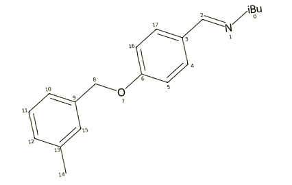 CCC(C)N=Cc1ccc(OCc2cccc(C)c2)cc1